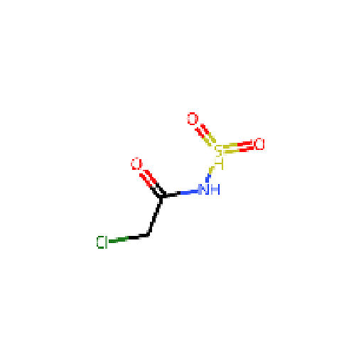 O=C(CCl)N[SH](=O)=O